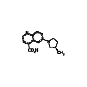 C[C@@H]1CCN(c2ccc3nccc(C(=O)O)c3c2)C1